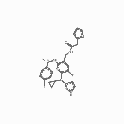 C[C@H](Nc1nc(N(c2cc[nH]n2)C2CC2)c(F)cc1CNC(=O)Cc1cccs1)c1ccc(F)cc1